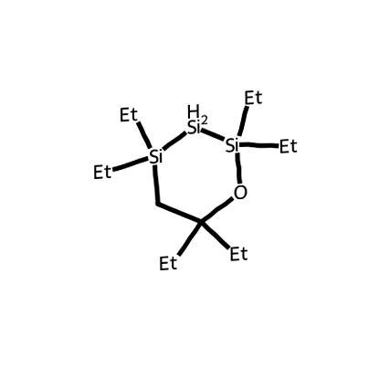 CCC1(CC)C[Si](CC)(CC)[SiH2][Si](CC)(CC)O1